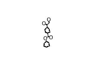 O=CC(=O)c1ccc(C(=O)Oc2ccccc2)cc1